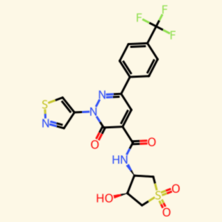 O=C(N[C@H]1CS(=O)(=O)C[C@H]1O)c1cc(-c2ccc(C(F)(F)F)cc2)nn(-c2cnsc2)c1=O